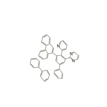 c1ccc(-c2cc(-c3ncccn3)c(-c3ccccn3)c(-c3cc4ccccc4c4ccccc34)c2)cc1.c1ccc(-c2ccccc2)cc1